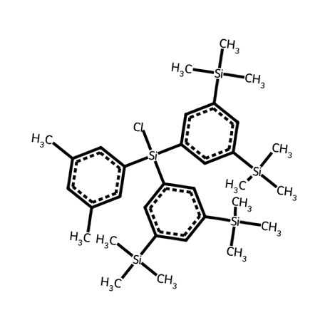 Cc1cc(C)cc([Si](Cl)(c2cc([Si](C)(C)C)cc([Si](C)(C)C)c2)c2cc([Si](C)(C)C)cc([Si](C)(C)C)c2)c1